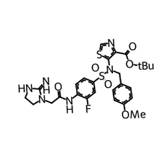 COc1ccc(CN(c2scnc2C(=O)OC(C)(C)C)S(=O)(=O)c2ccc(NC(=O)CN3CCNC3=N)c(F)c2)cc1